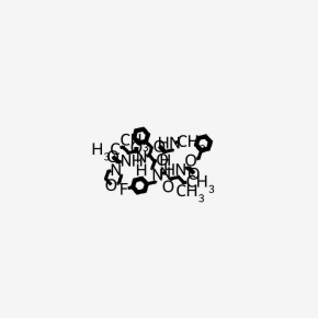 CNCC(=O)OC(CN(Cc1ccc(F)cc1)NC(=O)[C@@H](NC(=O)OCc1ccccc1)C(C)C)C(Cc1ccccc1)NC(=O)[C@@H](NC(=O)N1CCOCC1)C(C)C